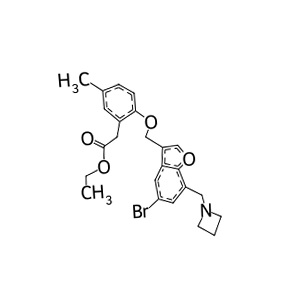 CCOC(=O)Cc1cc(C)ccc1OCc1coc2c(CN3CCC3)cc(Br)cc12